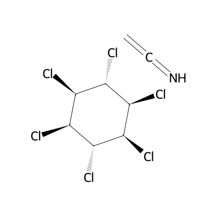 C=C=N.Cl[C@H]1[C@H](Cl)[C@@H](Cl)[C@@H](Cl)[C@H](Cl)[C@H]1Cl